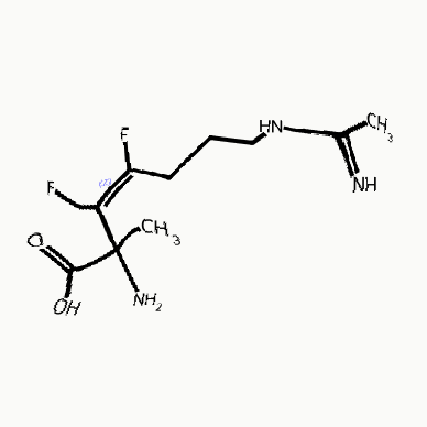 CC(=N)NCCC/C(F)=C(/F)C(C)(N)C(=O)O